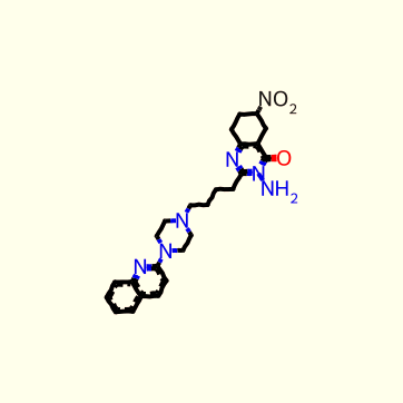 Nn1c(CCCCN2CCN(c3ccc4ccccc4n3)CC2)nc2c(c1=O)CC([N+](=O)[O-])CC2